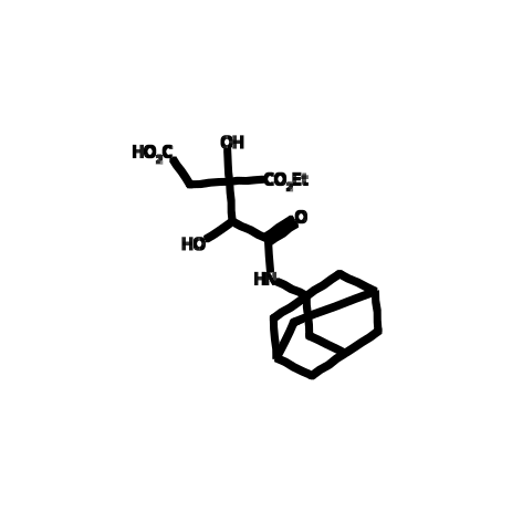 CCOC(=O)C(O)(CC(=O)O)C(O)C(=O)NC12CC3CC(CC(C3)C1)C2